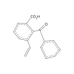 C=Cc1cccc(C(=O)O)c1C(=O)c1ccccc1